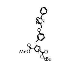 COC(=O)[C@H]1CN(C(=O)OC(C)(C)C)C[C@H]1Cc1cccc(OCc2noc(-c3ccccc3)n2)c1